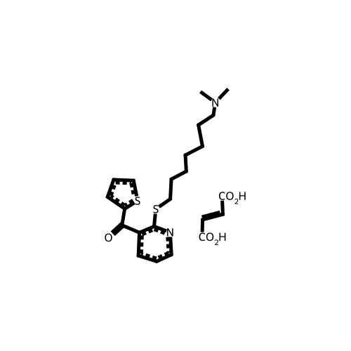 CN(C)CCCCCCCSc1ncccc1C(=O)c1cccs1.O=C(O)/C=C/C(=O)O